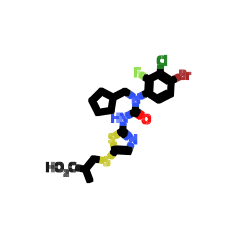 CC(CSc1cnc(NC(=O)N(CC2CCCC2)c2ccc(Br)c(Cl)c2F)s1)C(=O)O